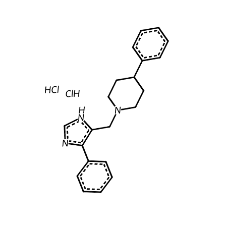 Cl.Cl.c1ccc(-c2nc[nH]c2CN2CCC(c3ccccc3)CC2)cc1